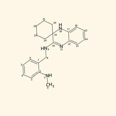 CNc1ccccc1CNC1=Nc2ccccc2NC12CCCCC2